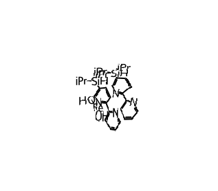 CC(C)[SiH](c1ccc(-c2ccccn2)nc1)C(C)C.CC(C)[SiH](c1ccc(-c2ccccn2)nc1)C(C)C.[OH][Fe][OH]